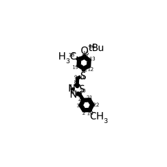 Cc1ccc(-c2nnc(CSc3ccc(OC(C)(C)C)c(C)c3)s2)cc1